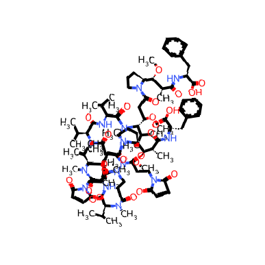 COC(CC(=O)N1CCC[C@H]1[C@H](OC)[C@@H](C)C(=O)N[C@@H](Cc1ccccc1)C(=O)O)[C@H](C(C)C)N(C)C(=O)[C@@H](NC(=O)[C@H](C(C)C)N(C)C(=O)CCN(C(=O)CCN1C(=O)C=CC1=O)N(CCC(=O)N(C)[C@H](C(=O)N[C@H](C(=O)N(C)[C@@H](C(C)C)C(CC(=O)N1CCC[C@H]1[C@H](OC)[C@@H](C)C(=O)N[C@@H](Cc1ccccc1)C(=O)O)OC)C(C)C)C(C)C)C(=O)CCN1C(=O)C=CC1=O)C(C)C